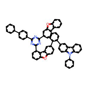 c1ccc(-c2ccc(-c3nc(-c4ccc5c(c4)oc4ccccc45)nc(-c4cccc5oc6ccc(-c7ccccc7-c7ccc8c(c7)c7ccccc7n8-c7ccccc7)cc6c45)n3)cc2)cc1